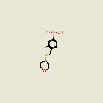 OB(O)c1ccc(CSC2CCOCC2)c(F)c1